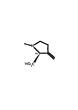 C=C1CCN(C)[C@@H]1C(=O)O